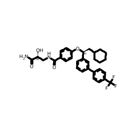 NC(=O)[C@H](O)CNC(=O)c1ccc(O[C@@H](CC2CCCCC2)c2cccc(-c3ccc(C(F)(F)F)cc3)c2)cc1